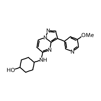 COc1cncc(-c2cnn3ccc(NC4CCC(O)CC4)nc23)c1